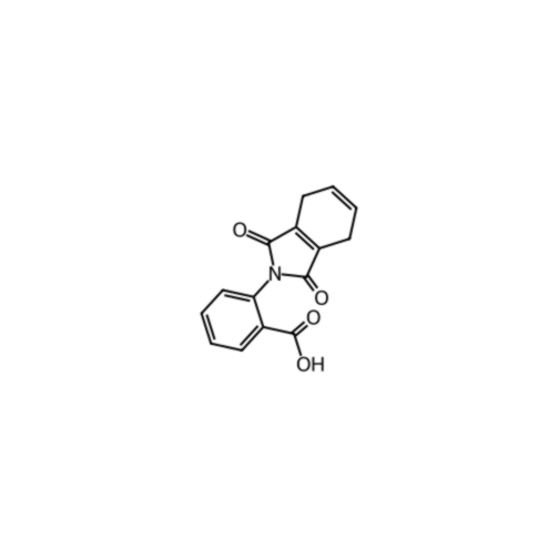 O=C(O)c1ccccc1N1C(=O)C2=C(CC=CC2)C1=O